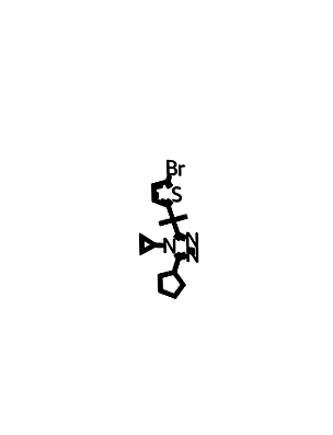 CC(C)(c1ccc(Br)s1)c1nnc(C2CCCC2)n1C1CC1